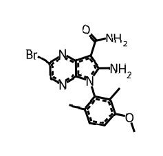 COc1ccc(C)c(-n2c(N)c(C(N)=O)c3nc(Br)cnc32)c1C